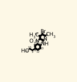 Cc1nc(Nc2ccc(CCO)cc2)c([N+](=O)[O-])c(C)c1Br